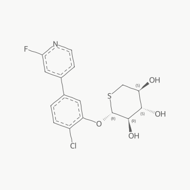 O[C@@H]1[C@@H](O)[C@H](Oc2cc(-c3ccnc(F)c3)ccc2Cl)SC[C@H]1O